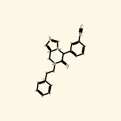 [C-]#[N+]c1cccc(C2C(=O)N(CCc3ccccc3)Cc3cncn32)c1